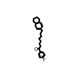 O=C(CCCCCCCC1=CCC2=C(C=C1)CCCC2)c1ccc(F)cc1